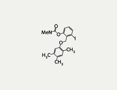 CNC(=O)Oc1cccc(I)c1COc1cc(C)c(C)cc1C